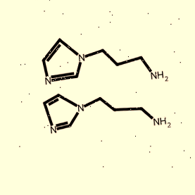 NCCCn1ccnc1.NCCCn1ccnc1